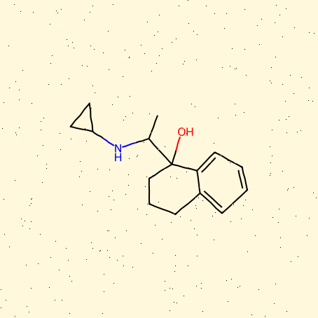 CC(NC1CC1)C1(O)CCCc2ccccc21